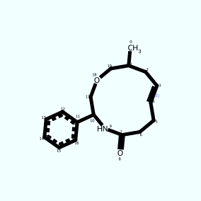 CC1C/C=C/CCC(=O)NC(c2ccccc2)COC1